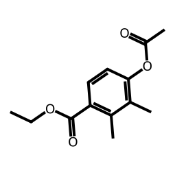 CCOC(=O)c1ccc(OC(C)=O)c(C)c1C